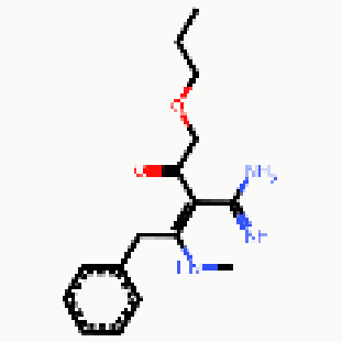 CCCOCC(=O)/C(C(=N)N)=C(\Cc1ccccc1)NC